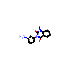 Cn1c(=O)n(-c2[c]c(N)ccc2)c(=O)c2ccccc21